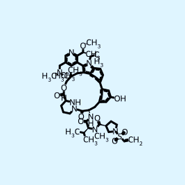 C=CS(=O)(=O)N1CC[C@H](C(=O)N(C)[C@H](C(=O)N[C@H]2Cc3cc(O)cc(c3)-c3ccc4c(c3)c(c(-c3cc(CN(C)C)cnc3[C@H](C)OC)n4CC)CC(C)(C)COC(=O)[C@@H]3CCCN(N3)C2=O)C(C)C)C1